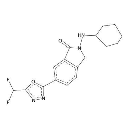 O=C1c2cc(-c3nnc(C(F)F)o3)ccc2CN1NC1CCCCC1